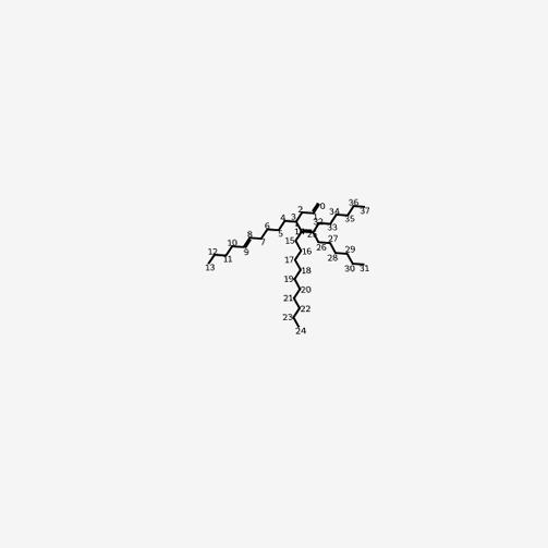 C=CC[C](CCCCC=CCCCC)C(CCCCCCCCCC)=C(CCCCCC)CCCCCC